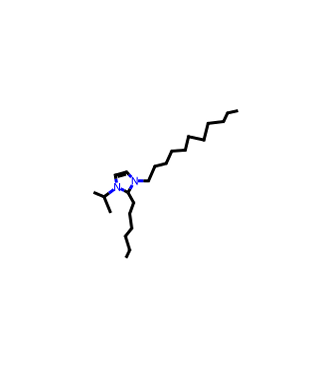 CCCCCCCCCCCN1C=CN(C(C)C)C1CCCCCC